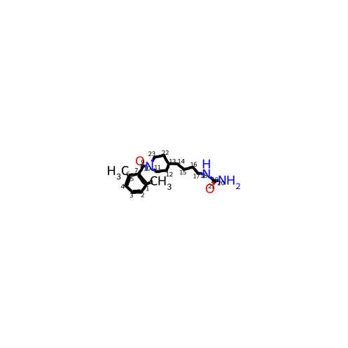 Cc1cccc(C)c1C(=O)N1CCC(CCCCNC(N)=O)CC1